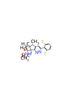 CCC1(C(=O)NOC)c2nnc(-c3c(F)cccc3F)cc2[C@@H](C)C1(C)C